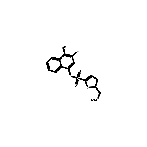 CC(=O)NCC1CC=C(S(=O)(=O)Nc2cc(Cl)c(O)c3ccccc23)S1